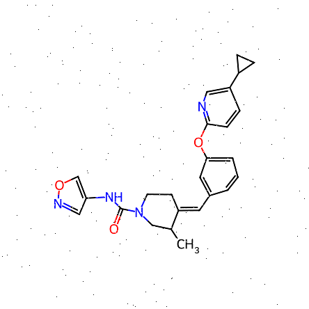 CC1CN(C(=O)Nc2cnoc2)CC/C1=C\c1cccc(Oc2ccc(C3CC3)cn2)c1